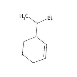 CC[C](C)C1C=CCCC1